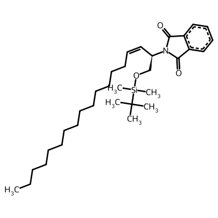 CCCCCCCCCCCCCC/C=C\[C@H](CO[Si](C)(C)C(C)(C)C)N1C(=O)c2ccccc2C1=O